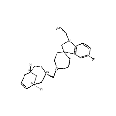 CC(=O)CN1CC2(CCN(C[C@@H]3CC[C@H]4CC=C[C@@H](C4)C3)CC2)c2cc(F)ccc21